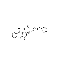 O=C(c1ccccc1)n1c(=O)c(F)cn([C@@H]2C[C@H](COCc3ccccc3)C2F)c1=O